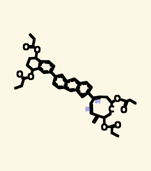 C=C1/C=C\C(c2ccc3cc4cc(-c5ccc6c(c5)C(OC(=O)CC)CCC6OC(=O)CC)ccc4cc3c2)=C/CC(OC(=O)CC)CCC1OC(=O)CC